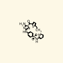 CCc1ccc(C(=O)n2nc(Nc3ccc(S(=O)(=O)Nc4ccccn4)cc3)nc2N)s1